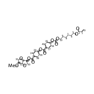 C=CC(=O)OCCCCCCOC(=O)Oc1ccc(C(=O)Oc2ccc(C(=O)O[C@H]3COC4C3OC[C@H]4OC)cc2)cc1